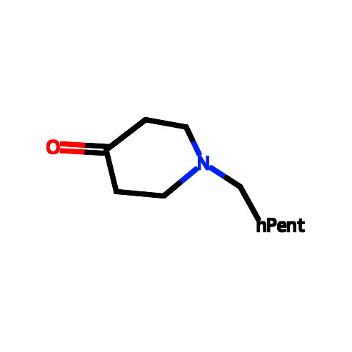 CCCCCCN1CCC(=O)CC1